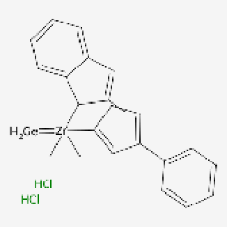 CC1=Cc2ccccc2[CH]1[Zr]([CH3])([CH3])(=[GeH2])[C]1=CC(c2ccccc2)=CC1.Cl.Cl